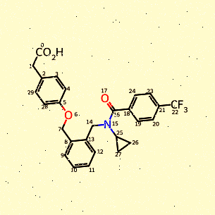 O=C(O)Cc1ccc(OCc2ccccc2CN(C(=O)c2ccc(C(F)(F)F)cc2)C2CC2)cc1